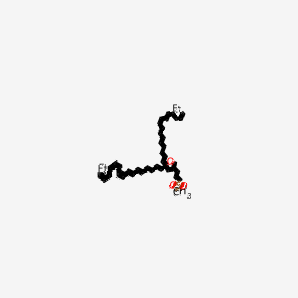 CC/C=C\C/C=C\C/C=C\CCCCCCCCC1(CCCCCCCC/C=C\C/C=C\C/C=C\CC)CC(CCCS(C)(=O)=O)CO1